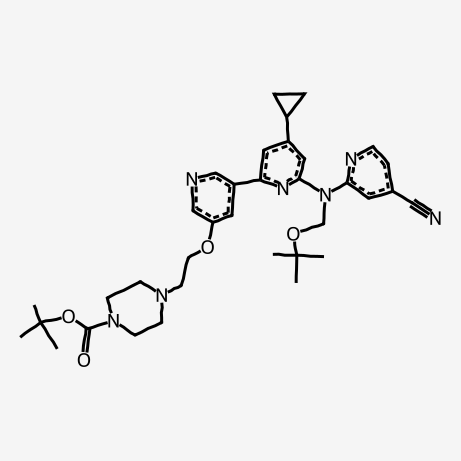 CC(C)(C)OCN(c1cc(C#N)ccn1)c1cc(C2CC2)cc(-c2cncc(OCCN3CCN(C(=O)OC(C)(C)C)CC3)c2)n1